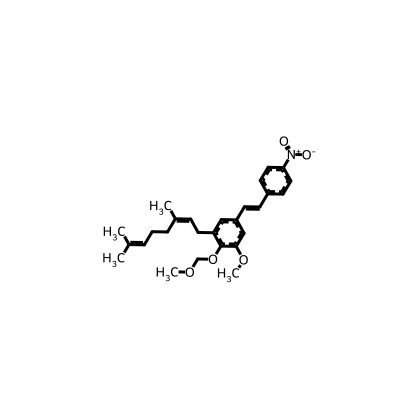 COCOc1c(CC=C(C)CCC=C(C)C)cc(C=Cc2ccc([N+](=O)[O-])cc2)cc1OC